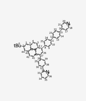 CC(C)(C)c1cc2ccc3c(-c4ccc(-c5ccc(-c6ccncc6)cc5)cc4)cc(-c4ccc(-c5ccccn5)cc4)c4ccc(c1)c2c34